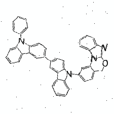 c1ccc(-n2c3ccccc3c3cc(-c4ccc5c(c4)c4ccccc4n5-c4ccc5c(c4)-n4c(nc6ccccc64)OC5)ccc32)cc1